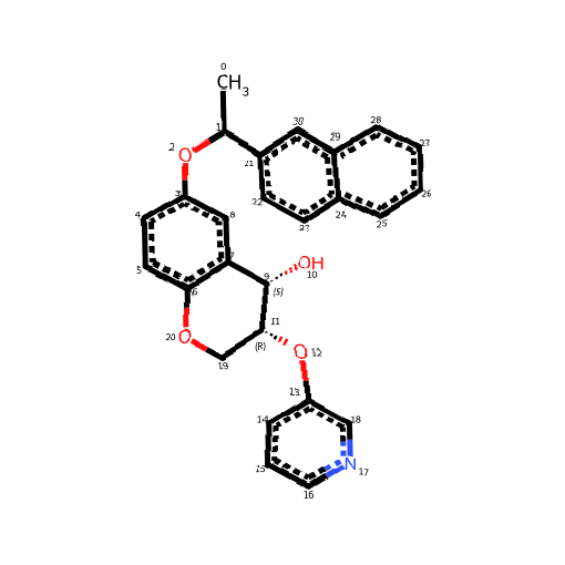 CC(Oc1ccc2c(c1)[C@H](O)[C@H](Oc1cccnc1)CO2)c1ccc2ccccc2c1